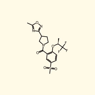 Cc1nc(C2CCN(C(=O)c3cc(S(C)(=O)=O)ccc3O[C@@H](C)C(F)(F)F)C2)no1